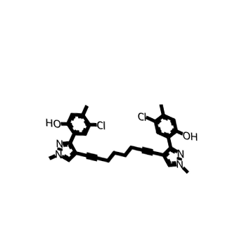 Cc1cc(O)c(-c2nn(C)cc2C#CCCCCC#Cc2cn(C)nc2-c2cc(Cl)c(C)cc2O)cc1Cl